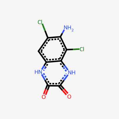 Nc1c(Cl)cc2[nH]c(=O)c(=O)[nH]c2c1Cl